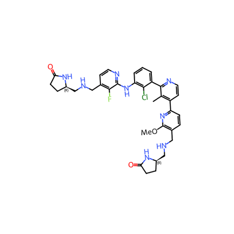 COc1nc(-c2ccnc(-c3cccc(Nc4nccc(CNC[C@H]5CCC(=O)N5)c4F)c3Cl)c2C)ccc1CNC[C@H]1CCC(=O)N1